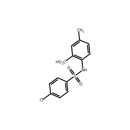 Cc1ccc(NS(=O)(=O)c2ccc(Cl)cc2)c(C(=O)O)c1